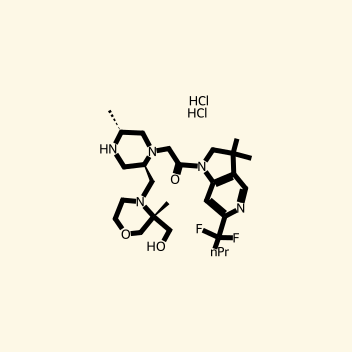 CCCC(F)(F)c1cc2c(cn1)C(C)(C)CN2C(=O)CN1C[C@@H](C)NC[C@@H]1CN1CCOC[C@@]1(C)CO.Cl.Cl